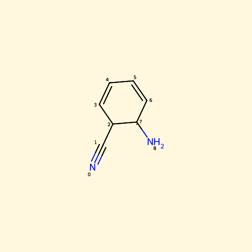 N#CC1C=CC=C[C]1N